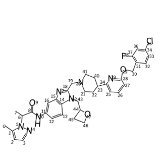 Cc1ccnn1C(C)C(=O)Nc1ccc2c(c1)nc(CN1CCC(c3cccc(OCc4ccc(Cl)cc4F)n3)CC1)n2CC1CCO1